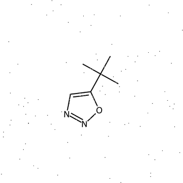 CC(C)(C)c1cnno1